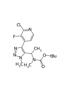 CC(c1c(-c2ccnc(Cl)c2F)nnn1C)N(C)C(=O)OC(C)(C)C